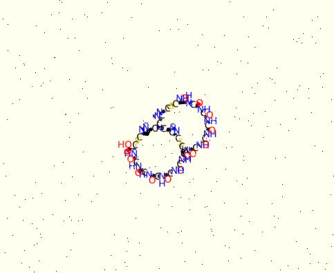 Cn1nc2cc1CN1Cc3cc(nn3C)CSC[C@H](NC(=O)CNC(=O)CNC(=O)CNC(=O)CNC(=O)CNC(=O)[C@@H](N)CSCc3cc(n(C)n3)C1)C(=O)NCC(=O)NCC(=O)NCC(=O)NCC(=O)NCC(=O)N[C@H](C(=O)O)CSC2